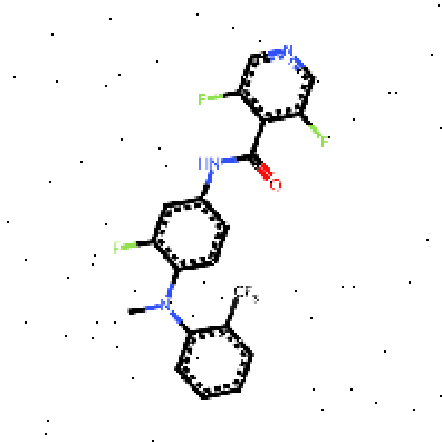 CN(c1ccc(NC(=O)c2c(F)cncc2F)cc1F)c1ccccc1C(F)(F)F